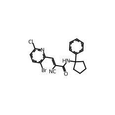 N#CC(=Cc1nc(Cl)ccc1Br)C(=O)NC1(c2ccccc2)CCCC1